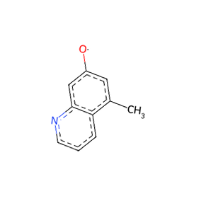 Cc1cc([O])cc2ncccc12